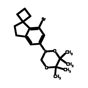 CC1(C)OCB(c2cc(Br)c3c(c2)CCC32CCC2)OC1(C)C